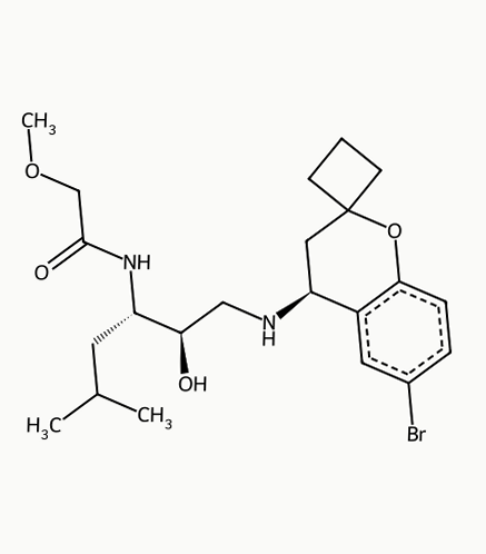 COCC(=O)N[C@@H](CC(C)C)[C@H](O)CN[C@H]1CC2(CCC2)Oc2ccc(Br)cc21